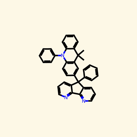 CC1(C)c2ccccc2N(c2ccccc2)c2ccc(C3(c4ccccc4)c4cccnc4-c4ncccc43)cc21